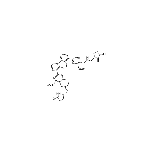 COc1nc(-c2cccc(-c3cccc(-c4nc5c(c(OC)n4)CN(C[C@@H]4CCC(=O)N4)CC5)c3Cl)c2Cl)ccc1CNC[C@H]1CCC(=O)N1